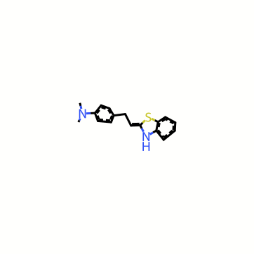 CN(C)c1ccc(CC=C2Nc3ccccc3S2)cc1